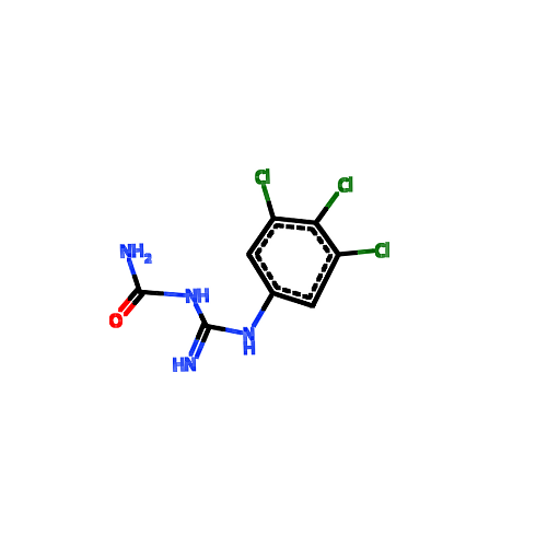 N=C(NC(N)=O)Nc1cc(Cl)c(Cl)c(Cl)c1